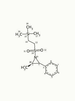 C[C@@H]1C(c2ccccc2)N1S(=O)(=O)CC[Si](C)(C)C